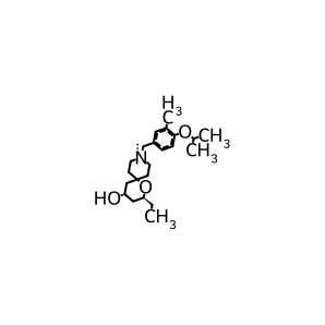 CC[C@H]1C[C@@H](O)CC2(CCN([C]c3ccc(OC(C)C)c(C)c3)CC2)O1